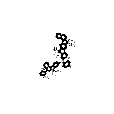 Cc1ccc(C)c(-c2cc3c(c4ccccc24)-c2ccc(N(c4ccc5c(c4)C(C)(C)c4cc6c(cc4-5)C(C)(C)c4ccc5ccccc5c4-6)c4ccc(F)cc4F)cc2C3(C)C)c1